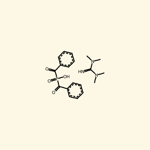 CN(C)C(=N)N(C)C.O=C(c1ccccc1)P(=O)(O)C(=O)c1ccccc1